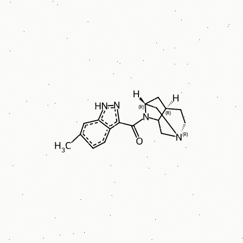 Cc1ccc2c(C(=O)N3C4C[N@@]5CC[C@@H]4C[C@@H]3C5)n[nH]c2c1